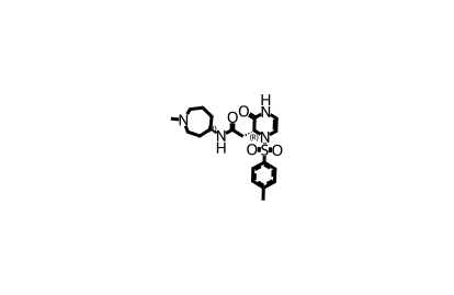 Cc1ccc(S(=O)(=O)N2C=CNC(=O)[C@H]2CC(=O)N[C@@H]2CCCN(C)CC2)cc1